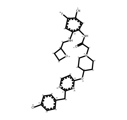 N#Cc1cc(NC(=O)CN2CCC(Oc3ccnc(Cc4ccc(Cl)cc4)n3)CC2)c(NCC2CCO2)cc1F